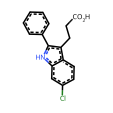 O=C(O)CCc1c(-c2ccccc2)[nH]c2cc(Cl)ccc12